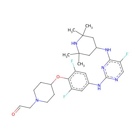 CC1(C)CC(Nc2nc(Nc3cc(F)c(OC4CCN(CC=O)CC4)c(F)c3)ncc2F)CC(C)(C)N1